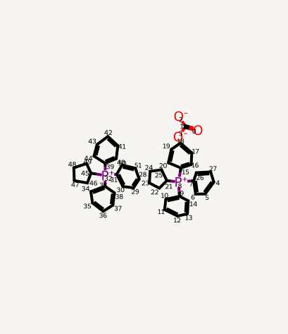 O=C([O-])[O-].c1ccc([P+](c2ccccc2)(c2ccccc2)C2CCCC2)cc1.c1ccc([P+](c2ccccc2)(c2ccccc2)C2CCCC2)cc1